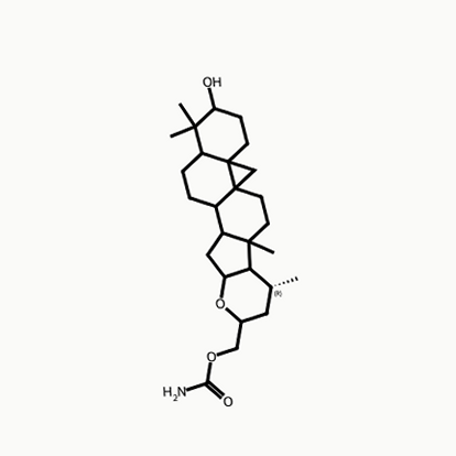 C[C@@H]1CC(COC(N)=O)OC2CC3C4CCC5C(C)(C)C(O)CCC56CC46CCC3(C)C21